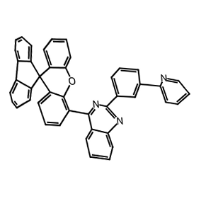 c1ccc(-c2cccc(-c3nc(-c4cccc5c4Oc4ccccc4C54c5ccccc5-c5ccccc54)c4ccccc4n3)c2)nc1